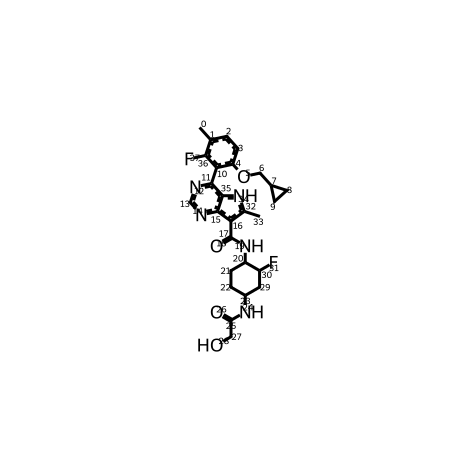 Cc1ccc(OCC2CC2)c(-c2ncnc3c(C(=O)NC4CCC(NC(=O)CO)CC4F)c(C)[nH]c23)c1F